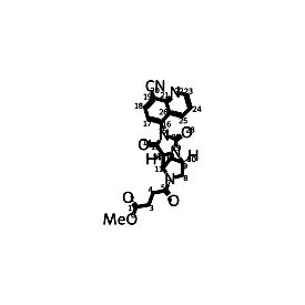 COC(=O)CCC(=O)N1C[C@H]2CC1[C@H]1C(=O)N(c3ccc(C#N)c4ncccc34)C(=O)N21